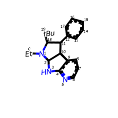 CCN1C2Nc3ncccc3C2C(c2ccccc2)C1C(C)(C)C